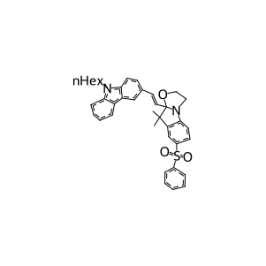 CCCCCCn1c2ccccc2c2cc(C=CC34OCCN3c3ccc(S(=O)(=O)c5ccccc5)cc3C4(C)C)ccc21